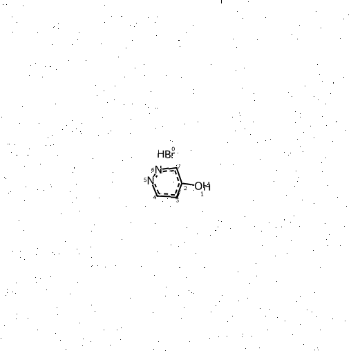 Br.Oc1ccnnc1